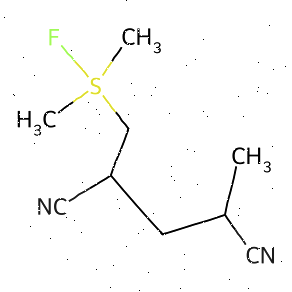 CC(C#N)CC(C#N)CS(C)(C)F